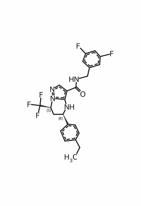 CCc1ccc([C@H]2C[C@@H](C(F)(F)F)n3ncc(C(=O)NCc4cc(F)cc(F)c4)c3N2)cc1